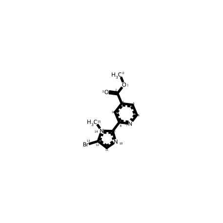 COC(=O)c1ccnc(-c2ncc(Br)n2C)c1